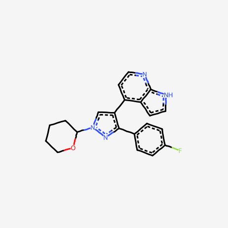 Fc1ccc(-c2nn(C3CCCCO3)cc2-c2ccnc3[nH]ccc23)cc1